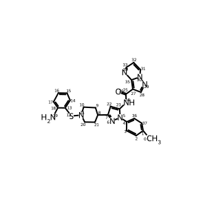 Cc1ccc(-n2nc(C3CCN(Sc4ccccc4N)CC3)cc2NC(=O)c2cnn3cccnc23)cc1